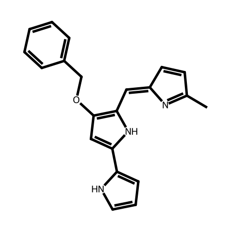 CC1=N/C(=C\c2[nH]c(-c3ccc[nH]3)cc2OCc2ccccc2)C=C1